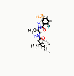 CCC(C)(C)CC(=O)NC[C@H](C)NC(=O)c1cc(P)ccc1F